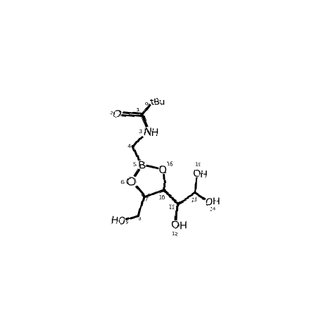 CC(C)(C)C(=O)NCB1OC(CO)C(C(O)C(O)O)O1